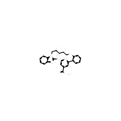 COC(=O)c1ccnc(-c2ccccc2OCCC[C@@H](C)Cn2c(N)nc3ccccc32)c1